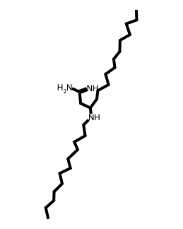 CCCCCCCCCCCCNC(CCCCCCCCCCCC)CC(=N)N